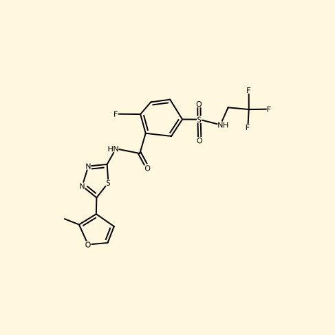 Cc1occc1-c1nnc(NC(=O)c2cc(S(=O)(=O)NCC(F)(F)F)ccc2F)s1